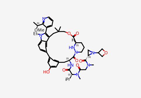 CCn1c(-c2cccnc2[C@H](C)OC)c2c3cc(ccc31)-c1cc(O)cc(c1)C[C@H](NC(=O)[C@H](C(C)C)N(C)C(=O)CN(C)C(=O)[C@@H]1CN1C1COC1)C(=O)N1CCC[C@H](N1)C(=O)OCC(C)(C)C2